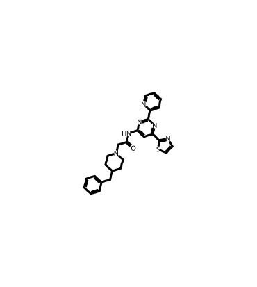 O=C(CN1CCC(Cc2ccccc2)CC1)Nc1cc(-c2nccs2)nc(-c2ccccn2)n1